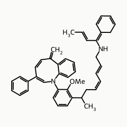 C=C1/C=C\C(c2ccccc2)=C/N(c2cccc(C(C)C/C=C\C=CCN/C(C=CC)=C3/C=CC=CC3)c2OC)c2ccccc21